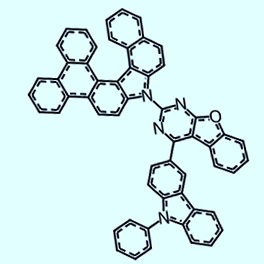 c1ccc(-n2c3ccccc3c3cc(-c4nc(-n5c6ccc7ccccc7c6c6c7c8ccccc8c8ccccc8c7ccc65)nc5oc6ccccc6c45)ccc32)cc1